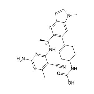 Cc1nc(N)nc(N[C@@H](C)c2nc3ccn(C)c3cc2C2=CCC(NC(=O)O)CC2)c1C#N